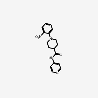 O=C(Nc1ccncc1)C1CCN(c2ccccc2[N+](=O)[O-])CC1